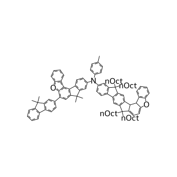 CCCCCCCCC1(CCCCCCCC)C2=CC=C3Oc4ccccc4C3C2c2cc3c(cc21)-c1ccc(N(c2ccc(C)cc2)c2ccc4c(c2)C(C)(C)c2cc(-c5ccc6c(c5)C(C)(C)c5ccccc5-6)c5oc6ccccc6c5c2-4)cc1C3(CCCCCCCC)CCCCCCCC